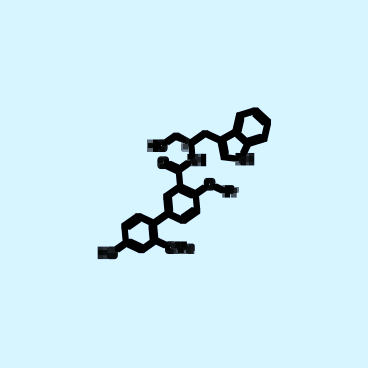 COc1cc(O)ccc1-c1ccc(OC(C)C)c(C(=O)N[C@@H](CO)Cc2c[nH]c3ccccc23)c1